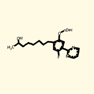 CCCCCCCCCCOc1cc(-c2ncccn2)c(F)cc1CCCCCCC(C)O